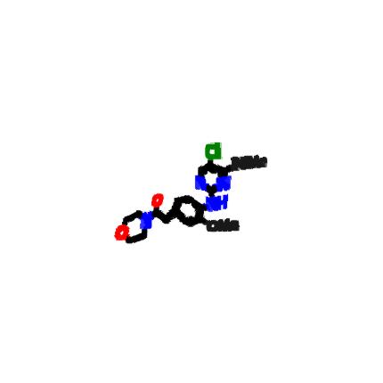 CNc1nc(Nc2ccc(CC(=O)N3CCOCC3)cc2OC)ncc1Cl